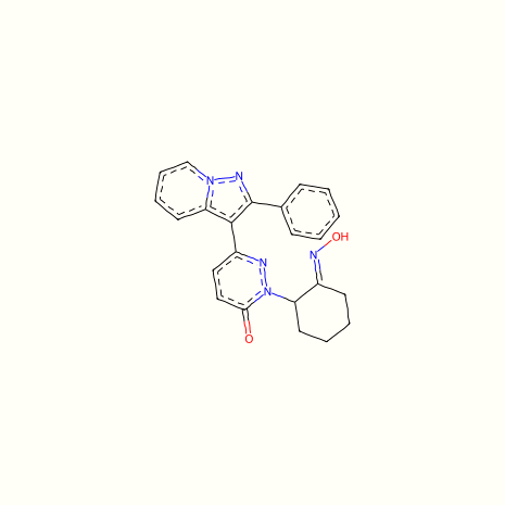 O=c1ccc(-c2c(-c3ccccc3)nn3ccccc23)nn1C1CCCCC1=NO